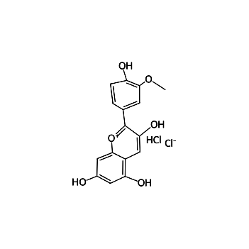 COc1cc(-c2[o+]c3cc(O)cc(O)c3cc2O)ccc1O.Cl.[Cl-]